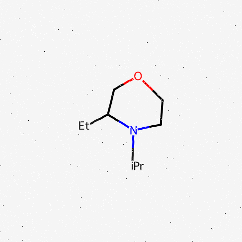 CCC1COCCN1C(C)C